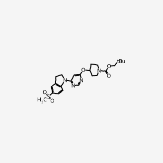 CC(C)(C)COC(=O)N1CCC(Oc2cc(N3CCc4cc(S(C)(=O)=O)ccc43)ncn2)CC1